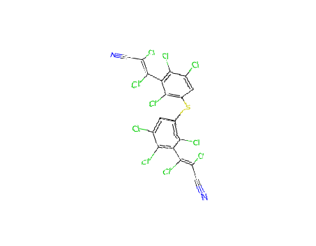 N#CC(Cl)=C(Cl)c1c(Cl)c(Cl)cc(Sc2cc(Cl)c(Cl)c(C(Cl)=C(Cl)C#N)c2Cl)c1Cl